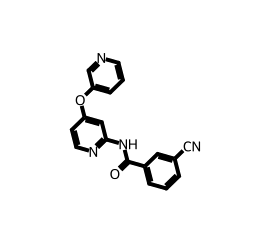 N#Cc1cccc(C(=O)Nc2cc(Oc3cccnc3)ccn2)c1